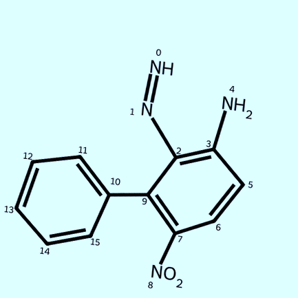 N=Nc1c(N)ccc([N+](=O)[O-])c1-c1ccccc1